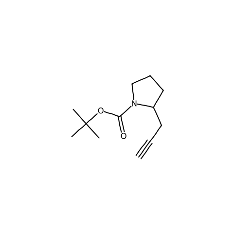 C#CCC1CCCN1C(=O)OC(C)(C)C